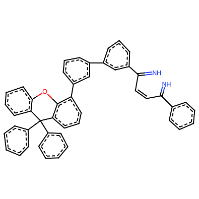 N=C(/C=C\C(=N)c1cccc(-c2cccc(-c3cccc4c3Oc3ccccc3C4(c3ccccc3)c3ccccc3)c2)c1)c1ccccc1